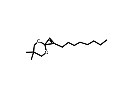 CCCCCCCCC1=CC12OCC(C)(C)CO2